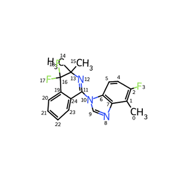 Cc1c(F)ccc2c1ncn2C1=NC(C)(C)C(F)(F)c2ccccc21